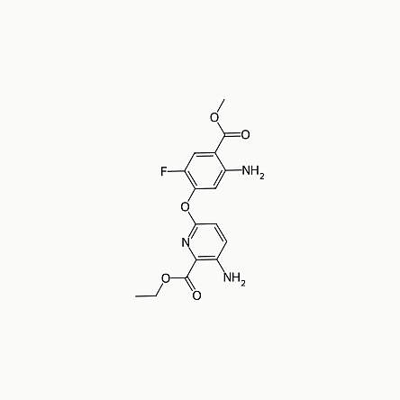 CCOC(=O)c1nc(Oc2cc(N)c(C(=O)OC)cc2F)ccc1N